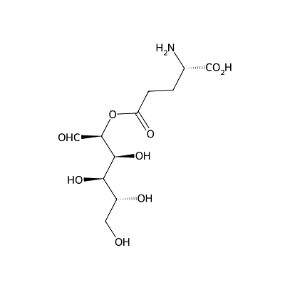 N[C@@H](CCC(=O)O[C@H](C=O)[C@@H](O)[C@H](O)[C@H](O)CO)C(=O)O